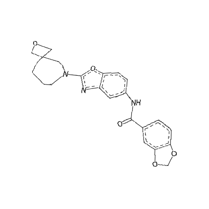 O=C(Nc1ccc2oc(N3CCCC4(COC4)C3)nc2c1)c1ccc2c(c1)OCO2